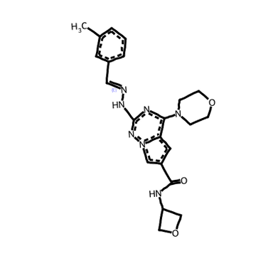 Cc1cccc(/C=N/Nc2nc(N3CCOCC3)c3cc(C(=O)NC4COC4)cn3n2)c1